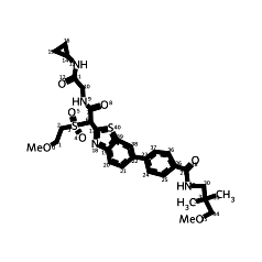 COCCS(=O)(=O)C(C(=O)NCC(=O)NC1CC1)c1nc2ccc(-c3ccc(C(=O)NCC(C)(C)COC)cc3)cc2s1